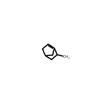 CC1CC2CC=C1C2